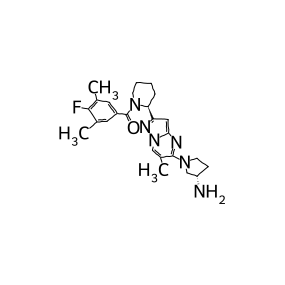 Cc1cn2nc([C@@H]3CCCCN3C(=O)c3cc(C)c(F)c(C)c3)cc2nc1N1CC[C@H](N)C1